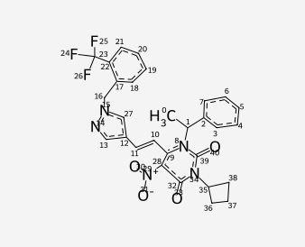 CC(c1ccccc1)n1c(/C=C/c2cnn(Cc3ccccc3C(F)(F)F)c2)c([N+](=O)[O-])c(=O)n(C2CCC2)c1=O